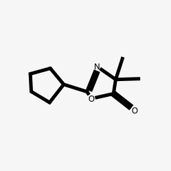 CC1(C)N=C(C2CCCC2)OC1=O